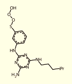 CC(C)CCCNc1nc(N)nc(Nc2cccc(SOOO)c2)n1